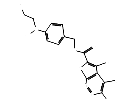 Cc1nnc2sc(C(=O)NCc3ccc([S+]([O-])CCO)cc3)c(N)c2c1C